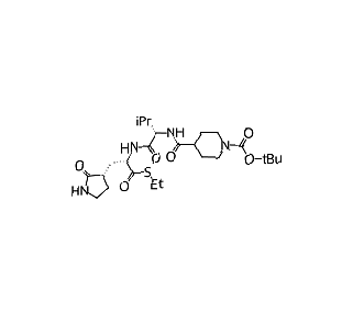 CCSC(=O)[C@H](C[C@@H]1CCNC1=O)NC(=O)[C@@H](NC(=O)C1CCN(C(=O)OC(C)(C)C)CC1)C(C)C